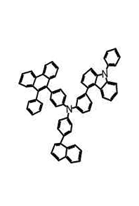 c1ccc(-c2c(-c3ccc(N(c4ccc(-c5cccc6ccccc56)cc4)c4cccc(-c5cccc6c5c5ccccc5n6-c5ccccc5)c4)cc3)c3ccccc3c3ccccc23)cc1